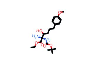 CCOC(=O)C(N)(NC(=O)OC(C)(C)C)C(O)CCCc1ccc(OC)cc1